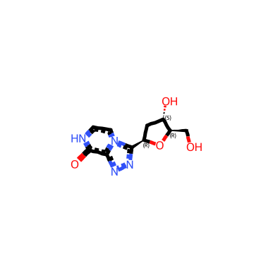 O=c1[nH]ccn2c([C@H]3C[C@H](O)[C@@H](CO)O3)nnc12